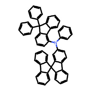 c1ccc(N(c2ccc3c(c2)C2(c4ccccc4-c4ccccc42)c2ccccc2-3)c2cccc3c2-c2ccccc2C3(c2ccccc2)c2ccccc2)cc1